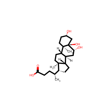 C[C@H](CCC(=O)O)[C@H]1CC[C@H]2[C@@H]3C[C@@H](O)[C@@]4(O)C[C@@H](O)CC[C@]4(C)[C@H]3CC[C@]12C